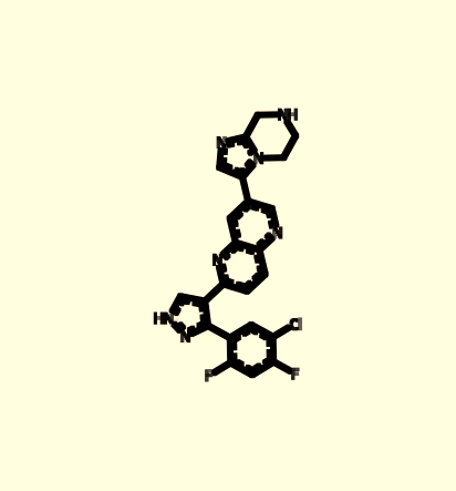 Fc1cc(F)c(-c2n[nH]cc2-c2ccc3ncc(-c4cnc5n4CCNC5)cc3n2)cc1Cl